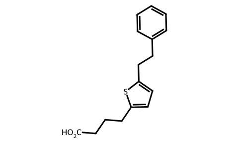 O=C(O)CCCc1ccc(CCc2ccccc2)s1